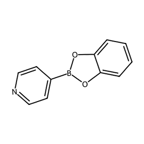 c1ccc2c(c1)OB(c1ccncc1)O2